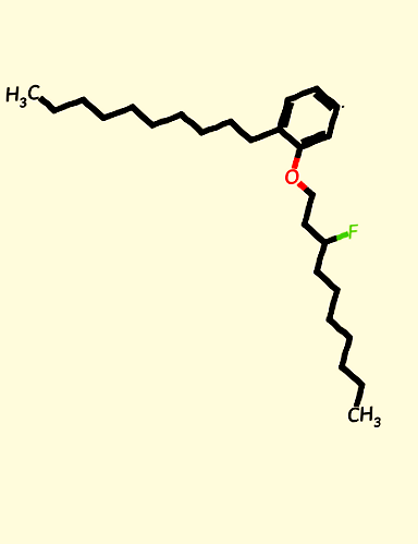 CCCCCCCCCCc1cc[c]cc1OCCC(F)CCCCCCC